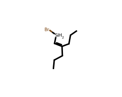 CCCC(=C[SiH2]Br)CCC